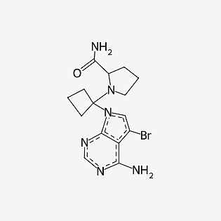 NC(=O)C1CCCN1C1(n2cc(Br)c3c(N)ncnc32)CCC1